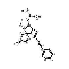 COC(OC)C1CCC2N1C1C=C(C#Cc3ccccc3)C3=CC(=O)OC32C1